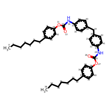 CCCCCCCc1ccc(OC(=O)Nc2ccc(Cc3ccc(NC(=O)Oc4ccc(CCCCCCC)cc4)cc3)cc2)cc1